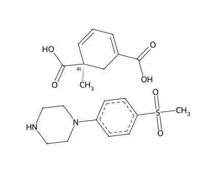 CS(=O)(=O)c1ccc(N2CCNCC2)cc1.C[C@]1(C(=O)O)C=CC=C(C(=O)O)C1